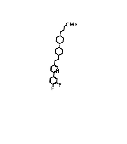 COCCC[C@H]1CC[C@H](C2CCC(CCc3ccc(-c4ccc(F)c(F)c4)nc3)CC2)CC1